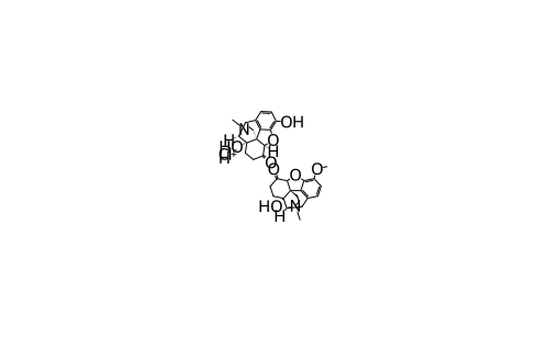 CN1CC[C@]23c4c5ccc(O)c4O[C@H]2C(=O)CC[C@@]3(O)[C@H]1C5.COc1ccc2c3c1OC1C(=O)CC[C@@]4(O)[C@@H](C2)N(C)CC[C@]314.[Cl-].[H+]